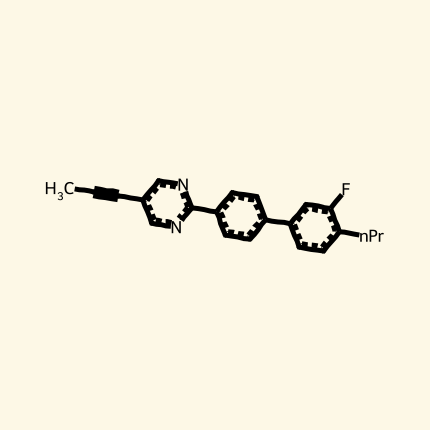 CC#Cc1cnc(-c2ccc(-c3ccc(CCC)c(F)c3)cc2)nc1